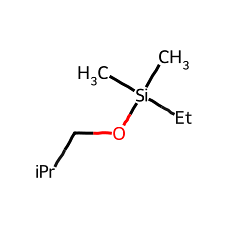 CC[Si](C)(C)OCC(C)C